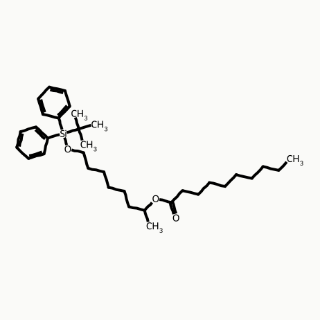 CCCCCCCCCC(=O)OC(C)CCCCCCO[Si](c1ccccc1)(c1ccccc1)C(C)(C)C